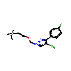 C[Si](C)(C)CCOCn1cc(Br)c(-c2ccc(F)cc2)n1